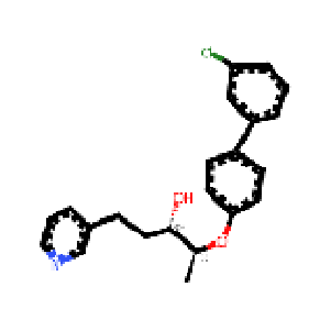 C[C@H](Oc1ccc(-c2cccc(Cl)c2)cc1)[C@@H](O)CCc1cccnc1